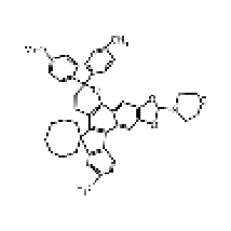 COc1ccc(C2(c3ccc(C)cc3)C=Cc3c4c(c5cc6c(cc5c3O2)OC(N2CCOCC2)O6)-c2ccc(C)cc2C42CCCCCCC2)cc1